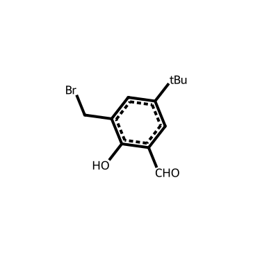 CC(C)(C)c1cc(C=O)c(O)c(CBr)c1